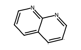 [c]1[c]c2cccnc2nc1